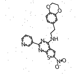 O=[N+]([O-])c1cc2c(NCCc3ccc4c(c3)OCCO4)nc(-c3cccnc3)nc2s1